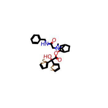 C[N+](C)(CC(=O)NCc1ccccc1)C1C2CCC1C(OC(=O)C(O)(c1cccs1)c1cccs1)C2